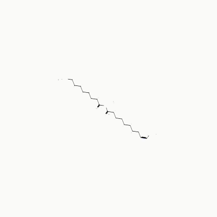 CCCCCCCC/C=C\CCCCCCCC(=O)OC(=O)CCCCCCCCCCCCCCCCC.[KH]